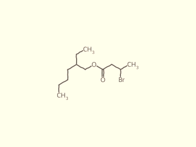 CCCCC(CC)COC(=O)CC(C)Br